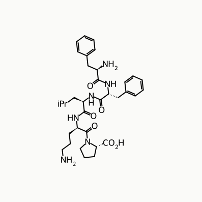 CC(C)C[C@@H](NC(=O)[C@@H](Cc1ccccc1)NC(=O)[C@H](N)Cc1ccccc1)C(=O)N[C@H](CCCN)C(=O)N1CCC[C@H]1C(=O)O